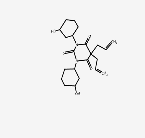 C=CCC1(CC=C)C(=O)N(C2CCCC(O)C2)C(=S)N(C2CCCC(O)C2)C1=O